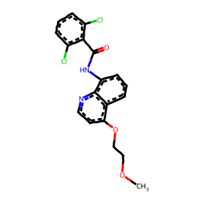 COCCOc1ccnc2c(NC(=O)c3c(Cl)cccc3Cl)cccc12